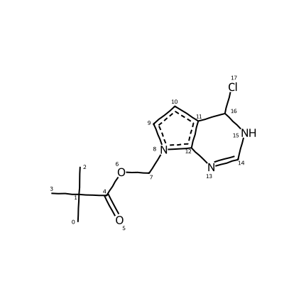 CC(C)(C)C(=O)OCn1ccc2c1N=CNC2Cl